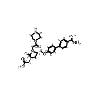 N=C(N)c1ccc(-c2ccc(OC[C@@H]3C[C@@H](CC(=O)O)C(=O)N3CC(=O)N3CCNCC3)cc2)cc1